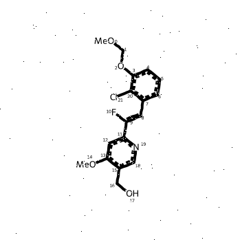 COCOc1cccc(C=C(F)c2cc(OC)c(CO)cn2)c1Cl